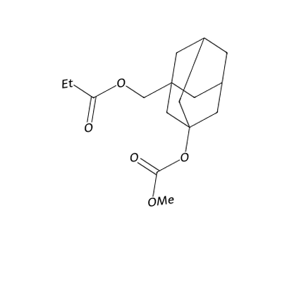 CCC(=O)OCC12CC3CC(C1)CC(OC(=O)OC)(C3)C2